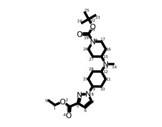 CCOC(=O)c1ccn(C2CCC(N(C)C3CCN(C(=O)OC(C)(C)C)CC3)CC2)n1